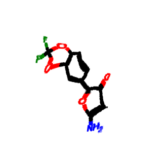 NC1=[C]C(=O)C(c2ccc3c(c2)OC(F)(F)O3)O1